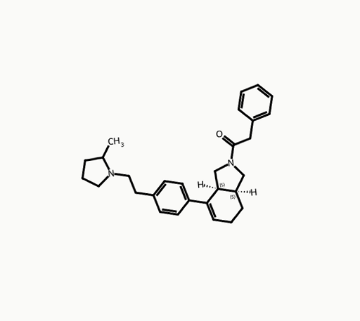 CC1CCCN1CCc1ccc(C2=CCC[C@@H]3CN(C(=O)Cc4ccccc4)C[C@H]23)cc1